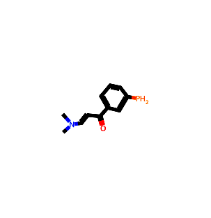 CN(C)C=CC(=O)c1cccc(P)c1